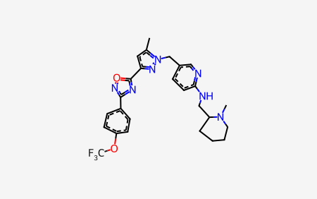 Cc1cc(-c2nc(-c3ccc(OC(F)(F)F)cc3)no2)nn1Cc1ccc(NCC2CCCCN2C)nc1